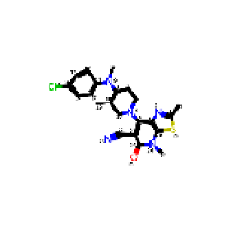 Cc1nc2c(N3CCC(N(C)c4ccc(Cl)cc4)[C@H](C)C3)c(C#N)c(=O)n(C)c2s1